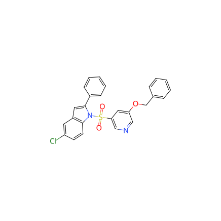 O=S(=O)(c1cncc(OCc2ccccc2)c1)n1c(-c2ccccc2)cc2cc(Cl)ccc21